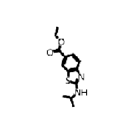 CCOC(=O)c1ccc2nc(NC(C)C)sc2c1